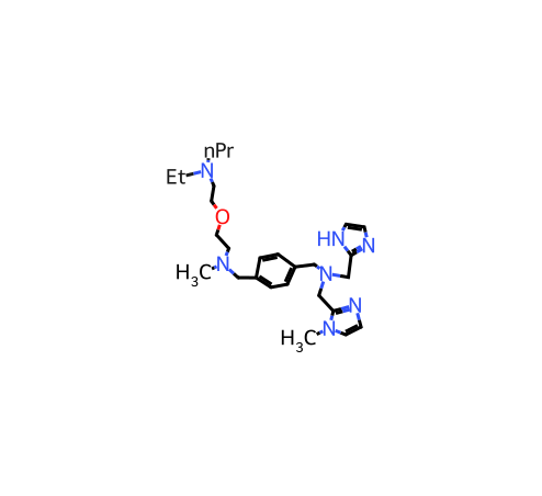 CCCN(CC)CCOCCN(C)Cc1ccc(CN(Cc2ncc[nH]2)Cc2nccn2C)cc1